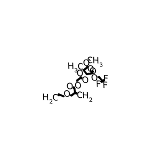 C=CCOCC(=C)C(=O)OCC(=O)OC(C)(CC(=O)OCC(F)(F)F)C(=O)OC